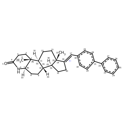 C[C@]12CCC(=O)N[C@@H]1CC[C@@H]1[C@@H]2CC[C@]2(C)/C(=C/c3ccc(-c4ccccc4)cc3)CC[C@@H]12